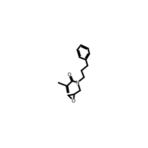 C=C(C)C(=O)N(CCCc1ccccc1)CC1CO1